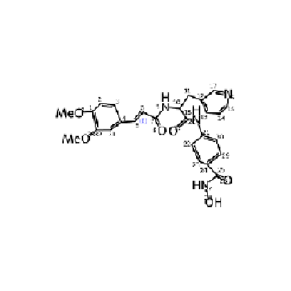 COc1ccc(/C=C/C(=O)NC(Cc2cccnc2)C(=O)Nc2ccc(C(=O)NO)cc2)cc1OC